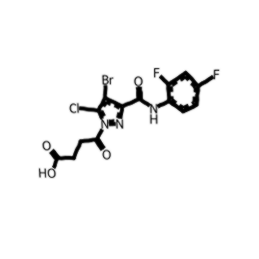 O=C(O)CCC(=O)n1nc(C(=O)Nc2ccc(F)cc2F)c(Br)c1Cl